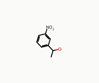 CC([O])c1cccc([N+](=O)[O-])c1